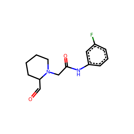 O=CC1CCCCN1CC(=O)Nc1cccc(F)c1